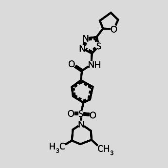 CC1CC(C)CN(S(=O)(=O)c2ccc(C(=O)Nc3nnc(C4CCCO4)s3)cc2)C1